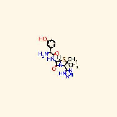 CC1(C)S[C@H]2C(NC(=O)C(N)c3cccc(O)c3)C(=O)N2C1c1nnn[nH]1